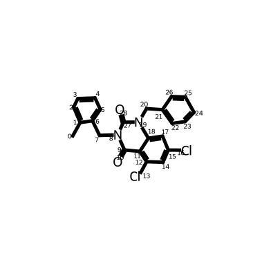 Cc1ccccc1Cn1c(=O)c2c(Cl)cc(Cl)cc2n(Cc2ccccc2)c1=O